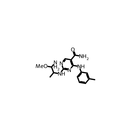 COC(N)C(C)Nc1ncc(C(N)=O)c(Nc2cccc(C)c2)n1